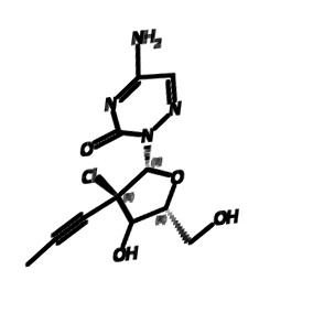 CC#C[C@@]1(Cl)C(O)[C@@H](CO)O[C@H]1n1ncc(N)nc1=O